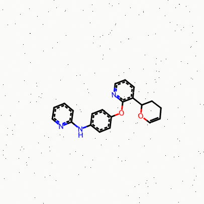 C1=COC(c2cccnc2Oc2ccc(Nc3ccccn3)cc2)CC1